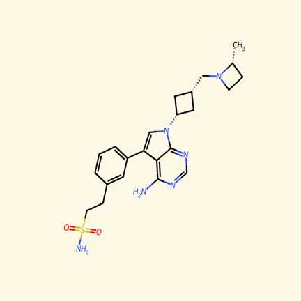 C[C@@H]1CCN1C[C@H]1C[C@@H](n2cc(-c3cccc(CCS(N)(=O)=O)c3)c3c(N)ncnc32)C1